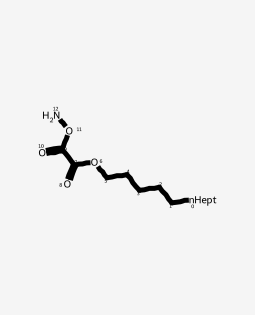 CCCCCCCCCCCCOC(=O)C(=O)ON